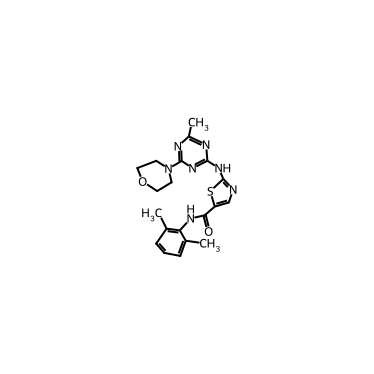 Cc1nc(Nc2ncc(C(=O)Nc3c(C)cccc3C)s2)nc(N2CCOCC2)n1